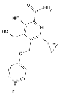 NC(=O)c1nc(C2CC2)c(COc2ccc(F)cc2)c(CO)c1O